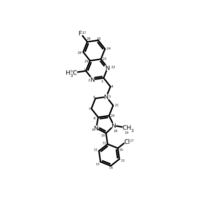 Cc1nc(CN2CCc3nc(-c4ccccc4Cl)n(C)c3C2)nc2ccc(F)cc12